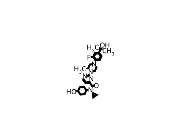 C[C@@H]1CN(c2ccc(C(C)(C)O)cc2F)CCN1c1nccc(C(=O)N(C2CCC(O)CC2)C2CC2)n1